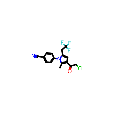 Cc1c(C(=O)CCl)cc(CC(F)(F)F)n1-c1ccc(C#N)cc1